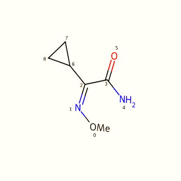 CO/N=C(\C(N)=O)C1CC1